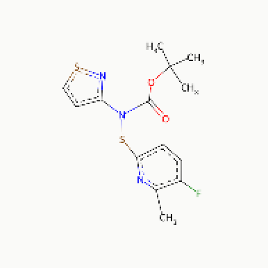 Cc1nc(SN(C(=O)OC(C)(C)C)c2ccsn2)ccc1F